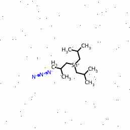 CC(C)[CH2][Sn+]([CH2]C(C)C)[CH2]C(C)C.[N-]=[N+]=[N-]